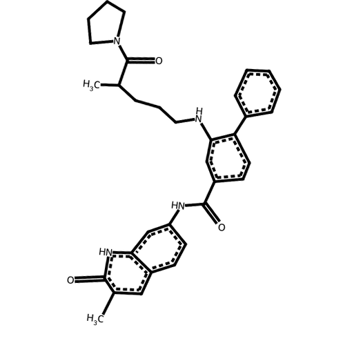 Cc1cc2ccc(NC(=O)c3ccc(-c4ccccc4)c(NCCCC(C)C(=O)N4CCCC4)c3)cc2[nH]c1=O